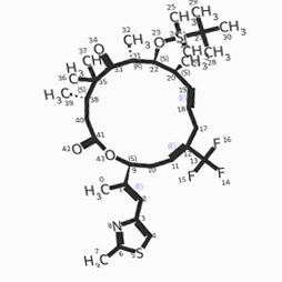 C/C(=C\c1csc(C)n1)[C@@H]1C/C=C(/C(F)(F)F)C/C=C/[C@H](C)[C@H](O[Si](C)(C)C(C)(C)C)[C@@H](C)C(=O)C(C)(C)[C@@H](C)CC(=O)O1